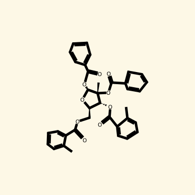 Cc1ccccc1C(=O)OC[C@H]1O[C@@H](OC(=O)c2ccccc2)[C@](C)(OC(=O)c2ccccc2)[C@@H]1OC(=O)c1ccccc1C